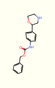 O=C(Nc1ccc(C2CNCCO2)cc1)OCc1ccccc1